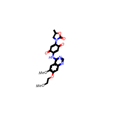 COCCOc1cc2ncnc(NC3=CC(=O)C(N4CC(C)OC4=O)=CC3=O)c2cc1OC